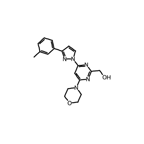 Cc1cccc(-c2ccn(-c3cc(N4CCOCC4)nc(CO)n3)n2)c1